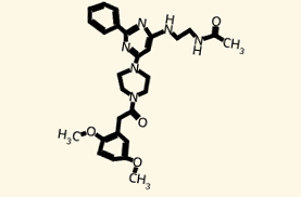 COc1ccc(OC)c(CC(=O)N2CCN(c3cc(NCCNC(C)=O)nc(-c4ccccc4)n3)CC2)c1